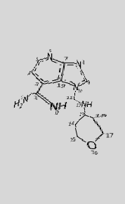 N=C(N)c1ccnc2ncn(CNC3CCOCC3)c12